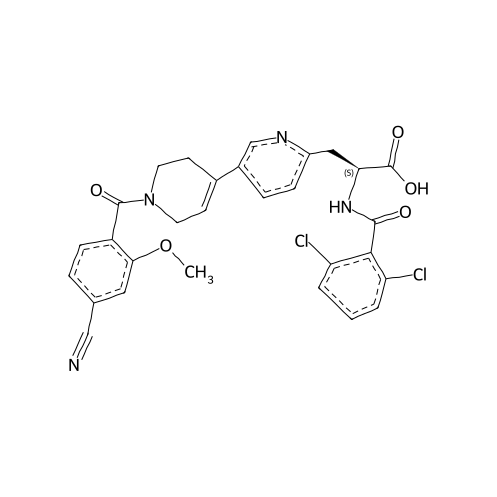 COc1cc(C#N)ccc1C(=O)N1CC=C(c2ccc(C[C@H](NC(=O)c3c(Cl)cccc3Cl)C(=O)O)nc2)CC1